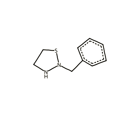 c1ccc(CN2NCCS2)cc1